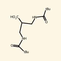 CC(C)(C)C(=O)NCC(CNC(=O)C(C)(C)C)C(=O)O